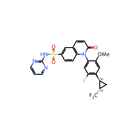 COc1cc([C@H]2C[C@@H]2C(F)(F)F)c(F)cc1-n1c(=O)ccc2cc(S(=O)(=O)Nc3ncccn3)ccc21